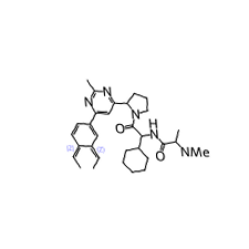 C/C=c1/ccc(-c2cc(C3CCCN3C(=O)C(NC(=O)C(C)NC)C3CCCCC3)nc(C)n2)c/c1=C/C